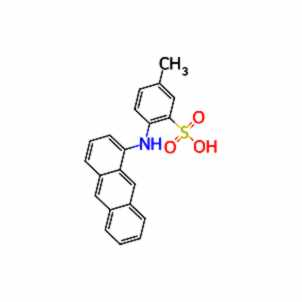 Cc1ccc(Nc2cccc3cc4ccccc4cc23)c(S(=O)(=O)O)c1